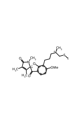 COc1ccc2c(c1CCC[C@@H](C)CSI)O[C@]1(C2=O)C(C)=C(C)C(=O)N1C